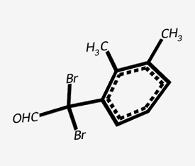 Cc1cccc(C(Br)(Br)C=O)c1C